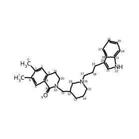 Cc1cc2c(cc1C)C(=O)N(CC1CCCN(CCCc3c[nH]c4ccccc34)C1)CC2